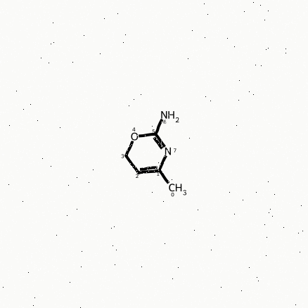 CC1=CCOC(N)=N1